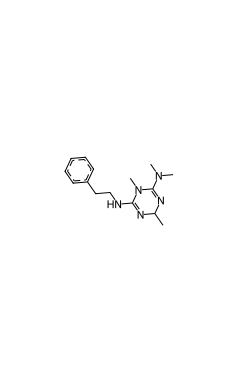 CC1N=C(NCCc2ccccc2)N(C)C(N(C)C)=N1